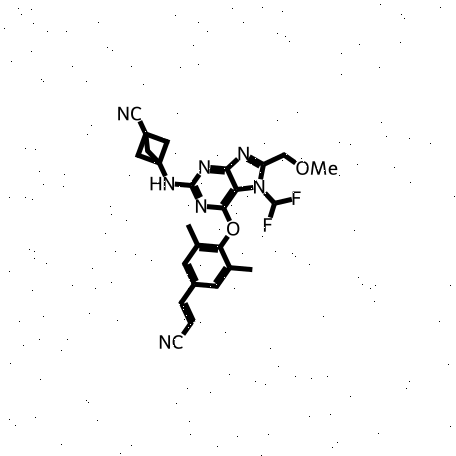 COCc1nc2nc(NC34CC(C#N)(C3)C4)nc(Oc3c(C)cc(/C=C/C#N)cc3C)c2n1C(F)F